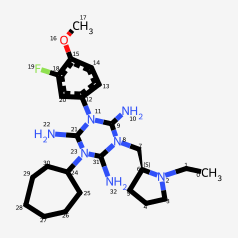 CCN1CCC[C@H]1CN1C(N)N(c2ccc(OC)c(F)c2)C(N)N(C2CCCCCC2)C1N